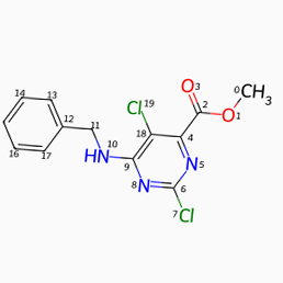 COC(=O)c1nc(Cl)nc(NCc2ccccc2)c1Cl